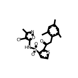 Cc1cc(C)c(CC(=O)c2sccc2S(=O)(=O)Nc2onc(C)c2Cl)c(C)c1